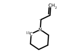 C=C[CH]N1CCCC[13CH2]1